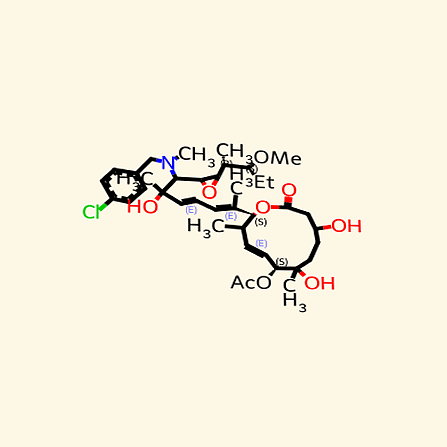 CC[C@H](OC)[C@@H](C)C1OC1C(N(C)Cc1ccc(Cl)cc1)C(C)(O)/C=C/C=C(\C)[C@H]1OC(=O)CC(O)CCC(C)(O)[C@@H](OC(C)=O)/C=C/C1C